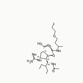 CCC(CC)[C@@H](NC(C)=O)[C@@H]1[C@H](OC(=O)NC(C)CCOCCI)[C@@H](C(=O)O)C[C@H]1NC(=N)N